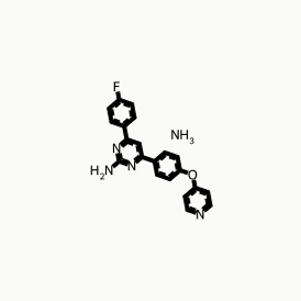 N.Nc1nc(-c2ccc(F)cc2)cc(-c2ccc(Oc3ccncc3)cc2)n1